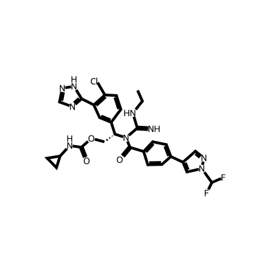 CCNC(=N)N(C(=O)c1ccc(-c2cnn(C(F)F)c2)cc1)[C@H](COC(=O)NC1CC1)c1ccc(Cl)c(-c2ncn[nH]2)c1